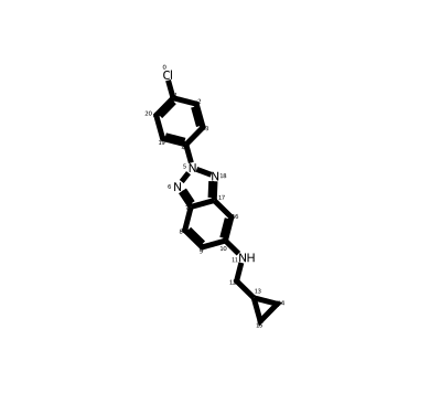 Clc1ccc(-n2nc3ccc(NCC4CC4)cc3n2)cc1